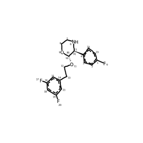 Fc1ccc([C@@H]2NCCO[C@H]2OCCc2cc(F)cc(F)c2)cc1